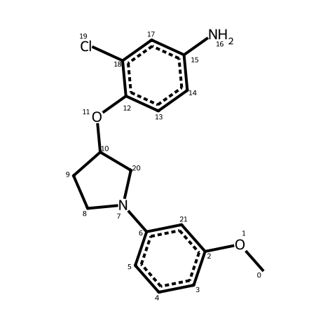 COc1cccc(N2CCC(Oc3ccc(N)cc3Cl)C2)c1